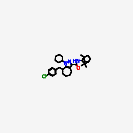 CC12CCC(C1)C(C)(C)[C@H]2NC(=O)c1nn(C2CCCCC2)c2c1CCCCC2Cc1ccc(Cl)cc1